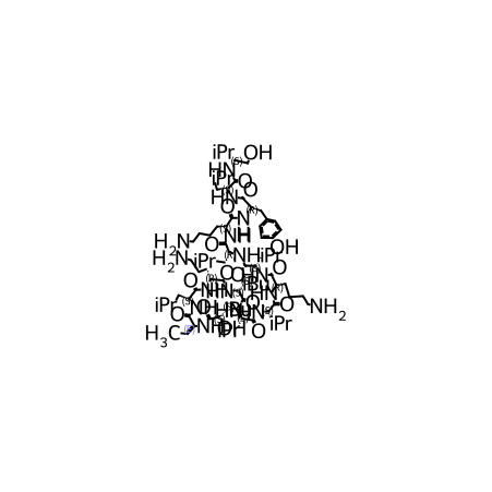 C/C=C(/NC(=O)[C@@H](O)[C@@H](C)CC)C(=O)N[C@@H](CC(C)C)C(=O)N[C@H](CCCN)C(=O)N[C@H](C(=O)N[C@H](C(=O)N[C@H](C(=O)N[C@H](CCCCN)C(=O)N[C@H](C(=O)N[C@H](CC(C)C)C(=O)N[C@@H](CCCCN)C(=O)N[C@H](Cc1ccc(O)cc1)C(=O)N[C@@H](CC(C)C)C(=O)N[C@H](CO)C(C)C)C(C)C)C(C)C)C(C)C)[C@@H](C)CC